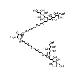 C[C@@H](CC(=O)NCCOCCOCCOCCOCCN(C[C@H](O)[C@H](O)[C@@H](O)[C@@H](O)CO)C[C@H](O)[C@@H](O)[C@H](O)[C@H](O)CO)C(=O)NCCOCCOCCOCCOCCN(C[C@H](O)[C@@H](O)[C@H](O)[C@H](O)CO)C[C@H](O)[C@@H](O)[C@H](O)[C@H](O)CO